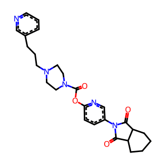 O=C(Oc1ccc(N2C(=O)C3CCCCC3C2=O)cn1)N1CCN(CCCc2cccnc2)CC1